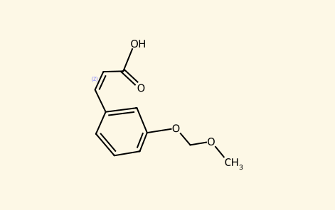 COCOc1cccc(/C=C\C(=O)O)c1